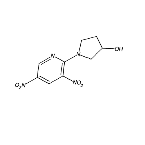 O=[N+]([O-])c1cnc(N2CCC(O)C2)c([N+](=O)[O-])c1